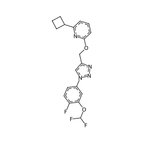 Fc1ccc(-n2cc(COc3cccc(C4CCC4)n3)nn2)cc1OC(F)F